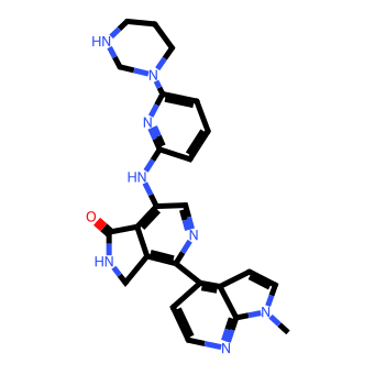 Cn1ccc2c(-c3ncc(Nc4cccc(N5CCCNC5)n4)c4c3CNC4=O)ccnc21